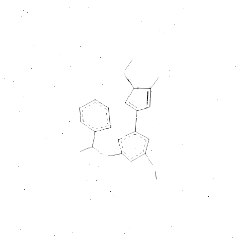 CNC1C=C(c2cc(OC(C)c3ccccc3)cc(SC)c2)C=C1C